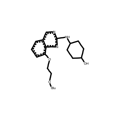 CC(C)(C)OCCOc1cccc2cnc(NC3CCC(O)CC3)nc12